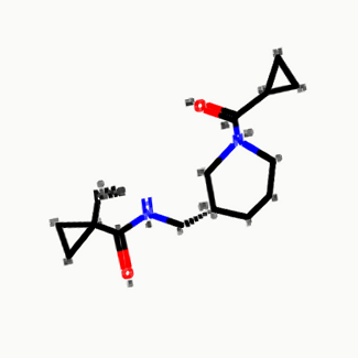 CNC1(C(=O)NC[C@H]2CCCN(C(=O)C3CC3)C2)CC1